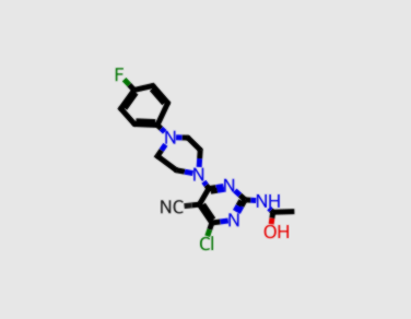 CC(O)Nc1nc(Cl)c(C#N)c(N2CCN(c3ccc(F)cc3)CC2)n1